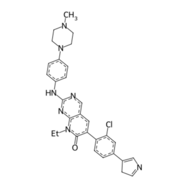 CCn1c(=O)c(-c2ccc(C3=CN=CC3)cc2Cl)cc2cnc(Nc3ccc(N4CCN(C)CC4)cc3)nc21